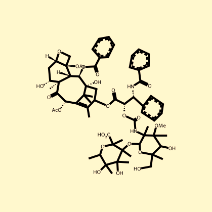 COC1(C)C(O)C(C)(CO)OC(OC2(C)C(C)(C(=O)O)OC(C)C(C)(O)C2(C)O)C1(C)NC(=O)O[C@H](C(=O)OC1C[C@]2(O)[C@H](OC(=O)c3ccccc3)[C@H]3[C@@]4(OC(C)=O)CO[C@H]4C[C@@H](O)[C@]3(C)C(=O)[C@@H](OC(C)=O)C(=C1C)C2(C)C)[C@H](NC(=O)c1ccccc1)c1ccccc1